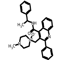 CC(NC(=O)c1c(C[N+]2([O-])CCN(C)CC2)c(-c2ccccc2)nc2ccccc12)c1ccccc1